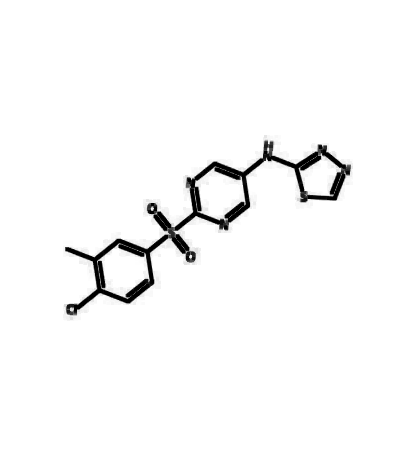 Cc1cc(S(=O)(=O)c2ncc(Nc3nncs3)cn2)ccc1Cl